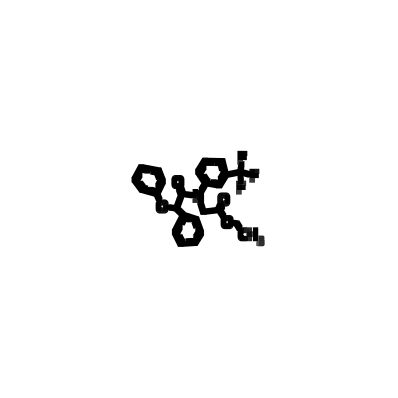 CCOC(=O)CN(C(=O)C(Oc1ccccc1)c1ccccc1)c1cccc(C(F)(F)F)c1